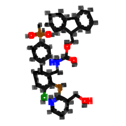 CS(=O)(=O)c1ccc(-c2ccc(Cl)c(Sc3ncccc3CO)c2CNC(=O)OCC2c3ccccc3-c3ccccc32)cc1